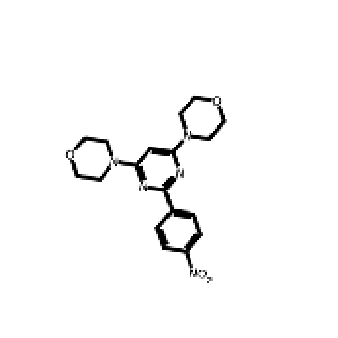 O=[N+]([O-])c1ccc(-c2nc(N3CCOCC3)cc(N3CCOCC3)n2)cc1